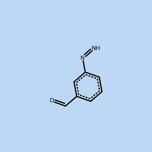 N=Nc1cccc(C=O)c1